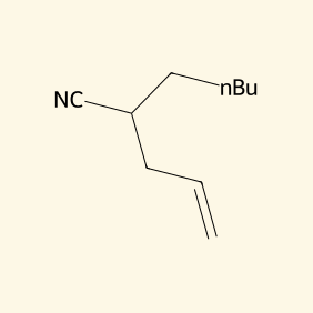 C=CCC(C#N)CCCCC